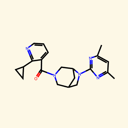 Cc1cc(C)nc(N2CC3CC2CN(C(=O)c2cccnc2C2CC2)C3)n1